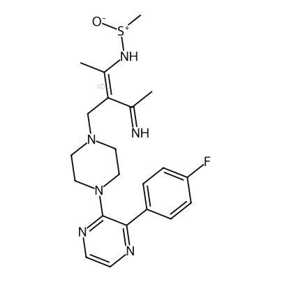 CC(=N)/C(CN1CCN(c2nccnc2-c2ccc(F)cc2)CC1)=C(/C)N[S+](C)[O-]